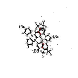 Cc1ccc2c(c1)B1c3cc(C(C)(C)C)ccc3N(c3c(-c4ccc5c(c4)C(C)(C)CC5(C)C)cc(C(C)(C)C)cc3-c3ccc4c(c3)C(C)(C)CC4(C)C)c3cc(C(C)(C)C)cc(c31)N2c1ccc(C(C)(C)C)cc1